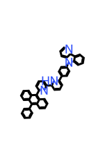 C1=CC(c2cccc(-c3c4ccccc4c(-c4ccccc4)c4ccccc34)n2)NC(c2ccc(-n3c4ccccc4c4ncccc43)cc2)=C1